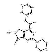 CCCN1Cc2c(nc(N3CCOCC3)nc2N(C)Cc2cccnc2)C1=O